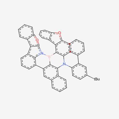 CC(C)(C)c1ccc(N2c3ccc4oc5ccccc5c4c3B3c4c(cc5ccccc5c42)-c2cccc4c5c6ccccc6oc5n3c24)c(-c2ccccc2)c1